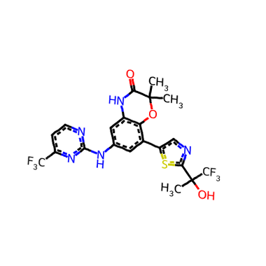 CC1(C)Oc2c(cc(Nc3nccc(C(F)(F)F)n3)cc2-c2cnc(C(C)(O)C(F)(F)F)s2)NC1=O